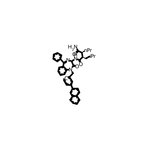 CCC[C@H](C(N)=O)[C@@H](CC(C)C)C(=O)NC1N=C(c2ccccc2)c2ccccc2N(Cc2cccc(-c3ccc4ccccc4c3)c2)C1=O